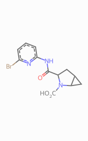 O=C(Nc1cccc(Br)n1)C1CC2CC2N1C(=O)O